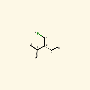 CC[C@@H](CF)C(C)C